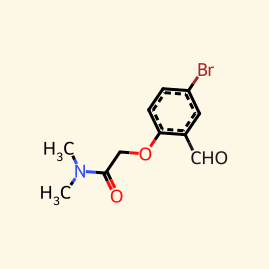 CN(C)C(=O)COc1ccc(Br)cc1C=O